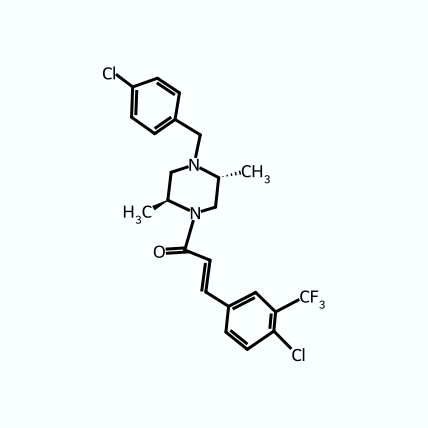 C[C@@H]1CN(C(=O)C=Cc2ccc(Cl)c(C(F)(F)F)c2)[C@@H](C)CN1Cc1ccc(Cl)cc1